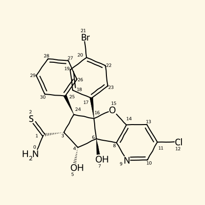 NC(=S)[C@H]1[C@@H](O)[C@@]2(O)c3ncc(Cl)cc3O[C@@]2(c2ccc(Br)cc2)[C@@H]1c1ccccc1